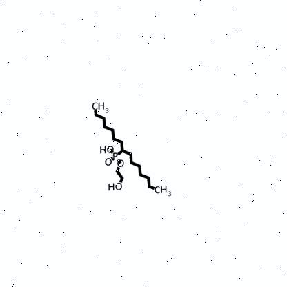 CCCCCCCC(CCCCCCC)P(=O)(O)OCCO